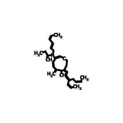 C=C1/C=C\C(N(C/C=C/C=C\C)C(=C)CC)=C/CCC/C(=C/C=C(/C=C\C)C/C=C\C)C1C